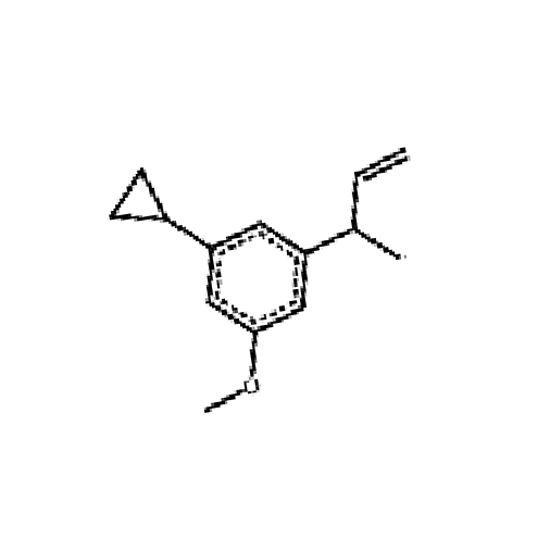 [CH2]C(C=C)c1cc(OC)cc(C2CC2)c1